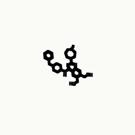 CN1CCCN(c2nc(NC3CCN(Cc4ccccc4)CC3)c3cc(CO)c(CO)cc3n2)CC1